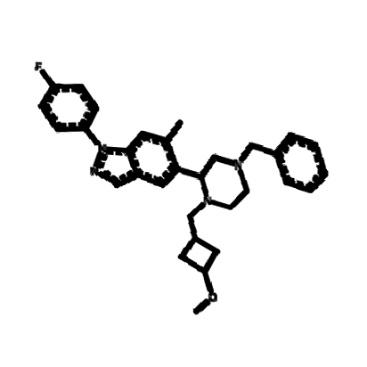 COC1CC(CN2CCN(Cc3ccccc3)CC2c2cc3cnn(-c4ccc(F)cc4)c3cc2C)C1